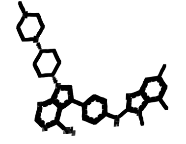 Cc1cc(C)c2c(c1)nc(Nc1ccc(-c3cn([C@H]4CC[C@@H](N5CCN(C)CC5)CC4)c4ncnc(N)c34)cc1)n2C